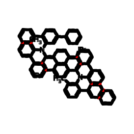 Cc1cccc(-c2ccccc2)c1N(c1cc(-c2ccccc2)ccc1-c1ccccc1)c1cc(C(C)C)c2ccc3c(N(c4cc(-c5ccccc5)ccc4-c4ccccc4)c4c(C)cccc4-c4ccccc4)cc(C(C)C)c4ccc1c2c43